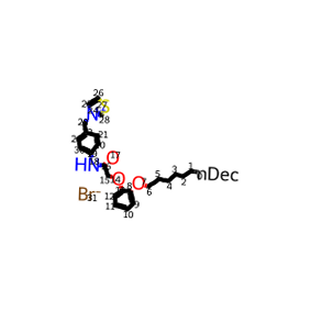 CCCCCCCCCCCCCCCCOc1ccccc1OCC(=O)Nc1ccc(C[n+]2ccsc2)cc1.[Br-]